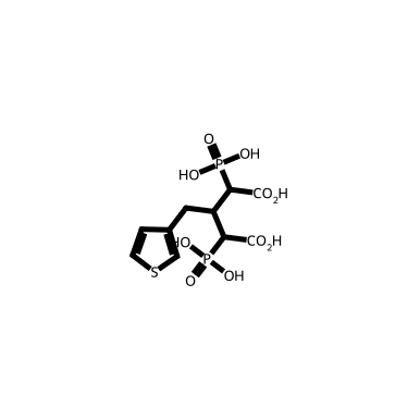 O=C(O)C(C(Cc1ccsc1)C(C(=O)O)P(=O)(O)O)P(=O)(O)O